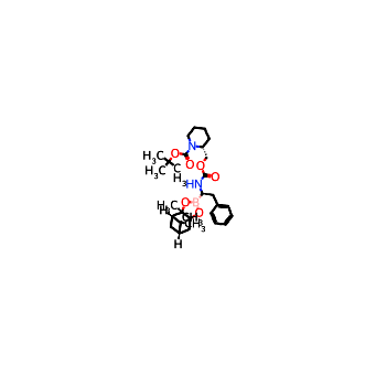 CC(C)(C)OC(=O)N1CCCC[C@@H]1COC(=O)N[C@@H](Cc1ccccc1)B1OC2C[C@@H]3C[C@@H](C3(C)C)[C@]2(C)O1